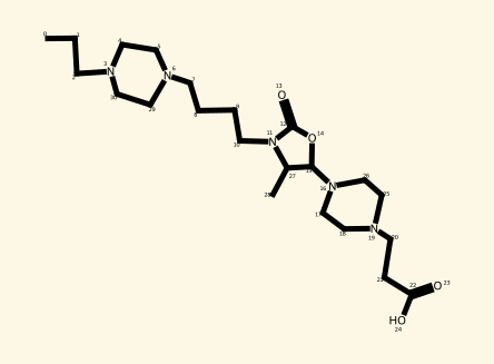 CCCN1CCN(CCCCN2C(=O)OC(N3CCN(CCC(=O)O)CC3)C2C)CC1